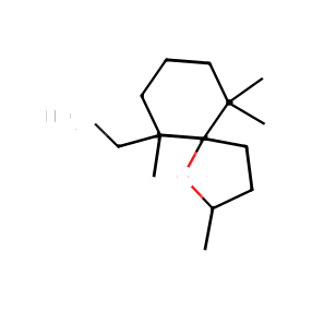 CC1CCC2(O1)C(C)(C)CCCC2(C)CC(=O)O